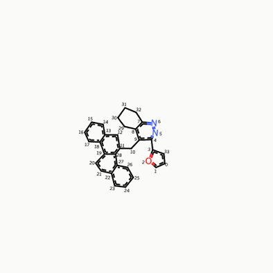 c1coc(-c2nnc3c(c2Cc2cc4ccccc4c4ccc5ccccc5c24)CCCC3)c1